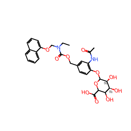 CCN(COc1cccc2ccccc12)C(=O)OCc1ccc(OC2OC(C(=O)O)C(O)[C@H](O)[C@@H]2O)c(NC(C)=O)c1